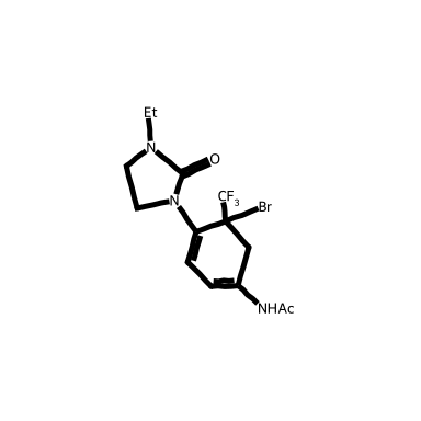 CCN1CCN(C2=CC=C(NC(C)=O)CC2(Br)C(F)(F)F)C1=O